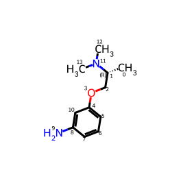 C[C@H](COc1cccc(N)c1)N(C)C